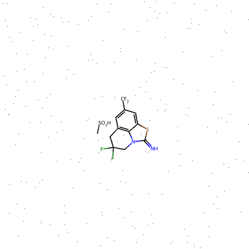 CS(=O)(=O)O.N=c1sc2cc(C(F)(F)F)cc3c2n1CC(F)(F)C3